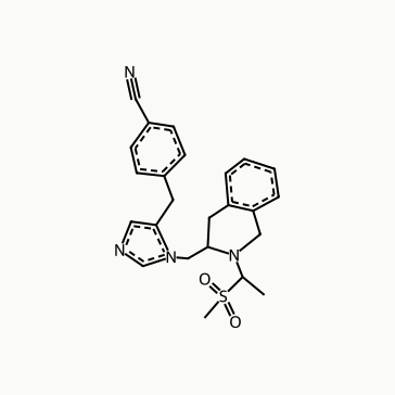 CC(N1Cc2ccccc2CC1Cn1cncc1Cc1ccc(C#N)cc1)S(C)(=O)=O